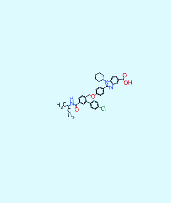 CC(C)NC(=O)c1ccc(COc2ccc(-c3nc4cc(C(=O)O)ccc4n3C3CCCCC3)cc2)c(-c2ccc(Cl)cc2)c1